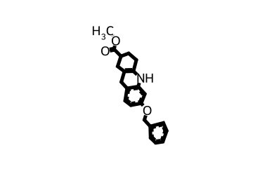 COC(=O)C1CCC2=C(Cc3ccc(OCc4ccccc4)cc3N2)C1